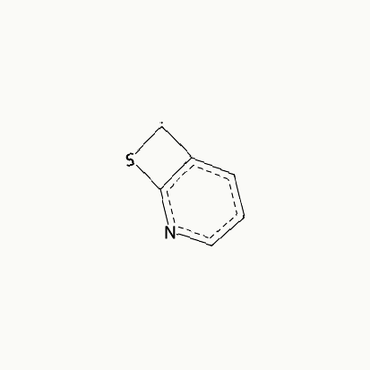 [CH]1Sc2ncccc21